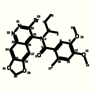 CCC(C)N(C(=O)c1cc(OC)c(OC)cc1I)c1c(Br)nnc2cc3c(cc12)OCO3